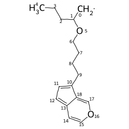 [CH2]C(CCC)OCCCCc1ccc2ccocc1-2